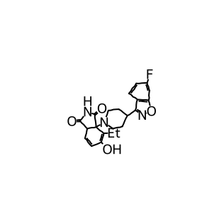 CCC1=C(O)C=CC2C(=O)NC(=O)C12N1CCC(c2noc3cc(F)ccc23)CC1